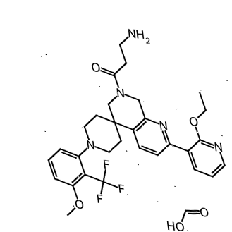 CCOc1ncccc1-c1ccc2c(n1)CN(C(=O)CCN)CC21CCN(c2cccc(OC)c2C(F)(F)F)CC1.O=CO